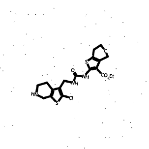 CCOC(=O)c1c(NC(=O)NCc2c(Cl)sc3c2CCNC3)sc2c1CCCC2